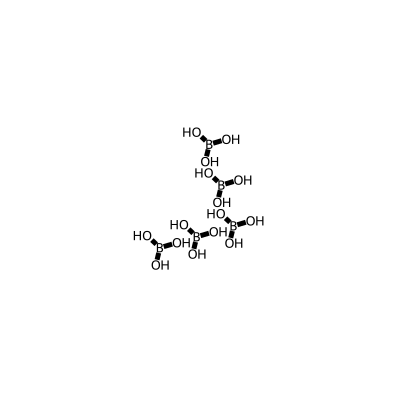 OB(O)O.OB(O)O.OB(O)O.OB(O)O.OB(O)O